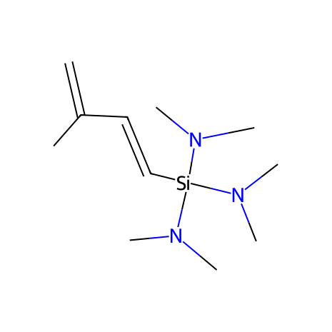 C=C(C)C=C[Si](N(C)C)(N(C)C)N(C)C